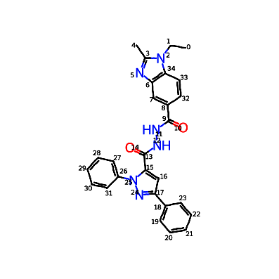 CCn1c(C)nc2cc(C(=O)NNC(=O)c3cc(-c4ccccc4)nn3-c3ccccc3)ccc21